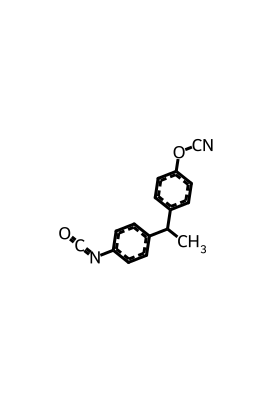 CC(c1ccc(N=C=O)cc1)c1ccc(OC#N)cc1